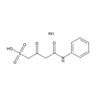 O=C(CC(=O)Nc1ccccc1)CS(=O)(=O)O.[KH]